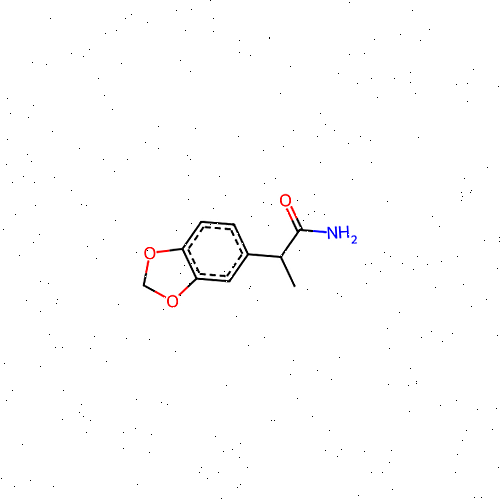 CC(C(N)=O)c1ccc2c(c1)OCO2